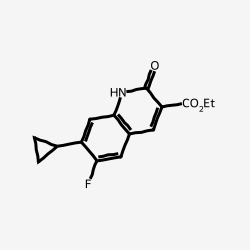 CCOC(=O)c1cc2cc(F)c(C3CC3)cc2[nH]c1=O